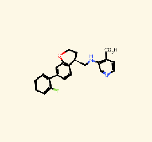 O=C(O)c1ccncc1NC[C@@H]1CCOc2cc(-c3ccccc3F)ccc21